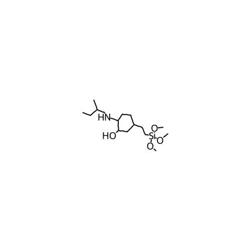 CCC(C)CNC1CCC(CC[Si](OC)(OC)OC)CC1O